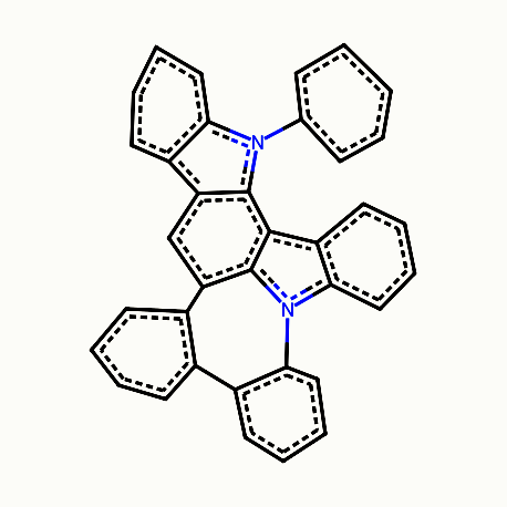 c1ccc(-n2c3ccccc3c3cc4c5c(c6ccccc6n5-c5ccccc5-c5ccccc5-4)c32)cc1